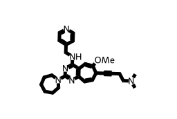 COC1=Cc2c(nc(N3CCCCCC3)nc2NCc2ccncc2)C=CC1C#CCCN(C)C